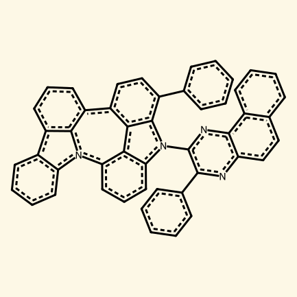 c1ccc(-c2nc3ccc4ccccc4c3nc2-n2c3cccc4c3c3c(ccc(-c5ccccc5)c32)c2cccc3c5ccccc5n4c23)cc1